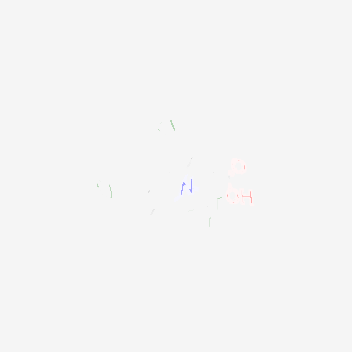 O=C(O)C1Cc2cc(Cl)ccc2N(Cc2ccc(Cl)cc2)C1C(F)(F)F